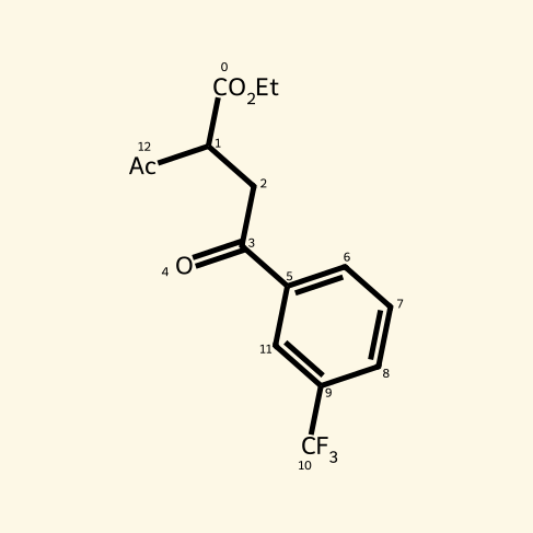 CCOC(=O)C(CC(=O)c1cccc(C(F)(F)F)c1)C(C)=O